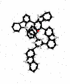 C1=CC2c3cccc(-c4ccc(-c5ccc6oc7cccc(-c8nc(-c9ccccc9)nc(-c9ccc%10oc%11ccccc%11c%10c9)n8)c7c6c5)c5c4oc4ccccc45)c3N(c3ccccc3)C2C=C1